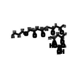 CC(=O)CC(C)=O.CC(=O)CC(C)=O.CCCCOCC(=O)CC(C)=O.[O]=[Zr]([OH])[OH]